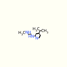 CNCCNc1cc(C(C)C)ccn1